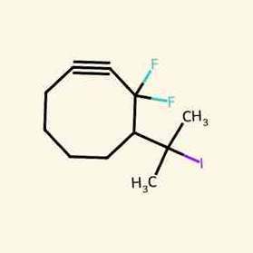 CC(C)(I)C1CCCCC#CC1(F)F